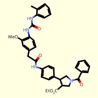 CCOC(=O)C1CN(C(=O)c2ccccc2)CC1c1ccc(NC(=O)Cc2ccc(NC(=O)Nc3ccccc3C)c(OC)c2)cc1